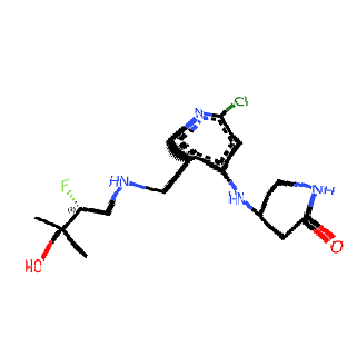 CC(C)(O)[C@H](F)CNCc1cnc(Cl)cc1NC1CNC(=O)C1